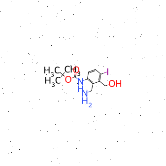 CC(C)(C)OC(=O)Nc1ccc(I)c(CO)c1CN